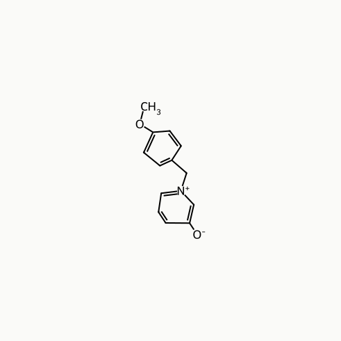 COc1ccc(C[n+]2cccc([O-])c2)cc1